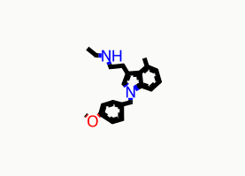 CCNCCc1cn(Cc2ccc(OC)cc2)c2cccc(C)c12